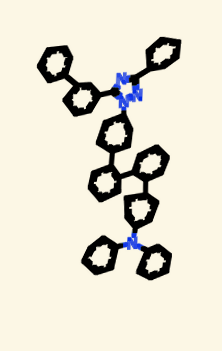 c1ccc(-c2cccc(-c3nc(-c4ccccc4)nn3-c3ccc(-c4ccccc4-c4ccccc4-c4ccc(N(c5ccccc5)c5ccccc5)cc4)cc3)c2)cc1